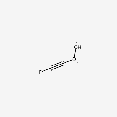 OOC#CF